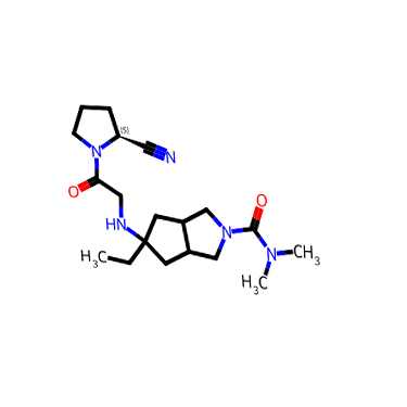 CCC1(NCC(=O)N2CCC[C@H]2C#N)CC2CN(C(=O)N(C)C)CC2C1